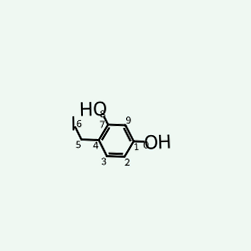 Oc1ccc(CI)c(O)c1